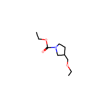 CCOCC1CCN(C(=O)OCC)C1